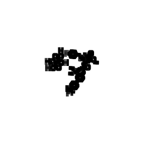 CCOc1cn(CC(=O)N(CCN(CC)CC)Cc2ccc(-c3ccc(C(F)(F)F)cc3)cc2)c(SCc2ccc(F)cc2)nc1=O.O=C(O)C(O)C(O)C(=O)O